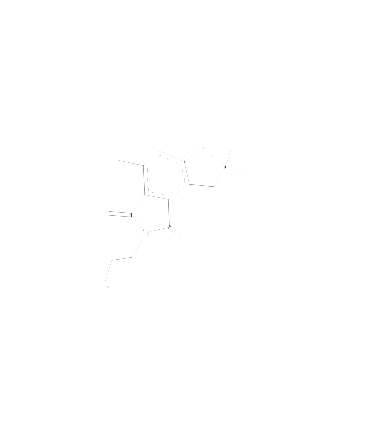 CCOC(=O)C1(C(=O)OCC)Cc2cc(C)c3c(c2C1)C(=O)N(CCO)C3=O